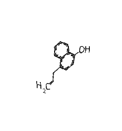 C=CCc1ccc(O)c2ccccc12